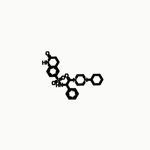 O=C1CCc2cc(S(=O)(=O)NC(C(=O)N3CCN(C4CCCCC4)CC3)c3ccccc3)ccc2N1